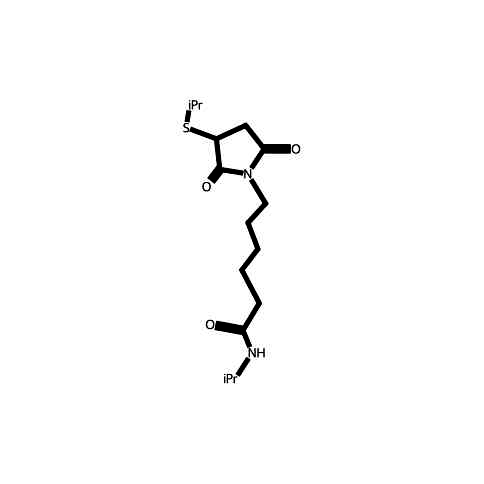 CC(C)NC(=O)CCCCCN1C(=O)CC(SC(C)C)C1=O